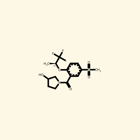 C[C@H](Oc1ccc(S(C)(=O)=O)cc1C(=O)N1CCC(O)C1)C(F)(F)I